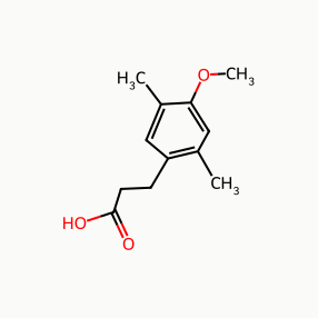 COc1cc(C)c(CCC(=O)O)cc1C